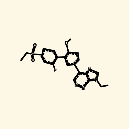 CCn1cnc2c(-c3ccc(OC)c(-c4ccc(S(=O)(=O)CC)cc4F)c3)cnnc21